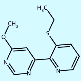 CCSc1cccnc1-c1cc(OC)ncn1